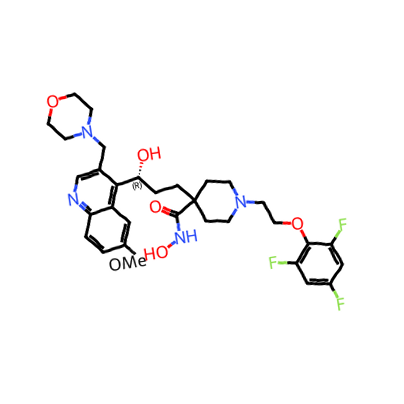 COc1ccc2ncc(CN3CCOCC3)c([C@H](O)CCC3(C(=O)NO)CCN(CCOc4c(F)cc(F)cc4F)CC3)c2c1